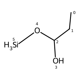 CCC(O)O[SiH3]